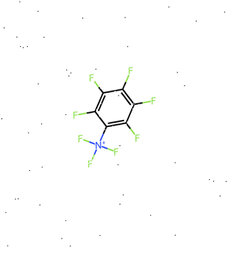 Fc1c(F)c(F)c([N+](F)(F)F)c(F)c1F